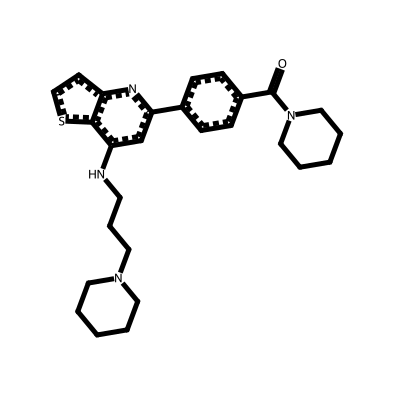 O=C(c1ccc(-c2cc(NCCCN3CCCCC3)c3sccc3n2)cc1)N1CCCCC1